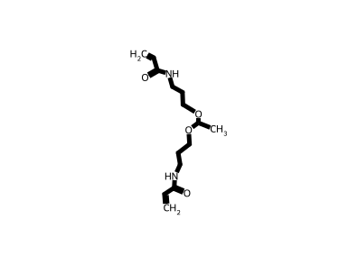 C=CC(=O)NCCCOC(C)OCCCNC(=O)C=C